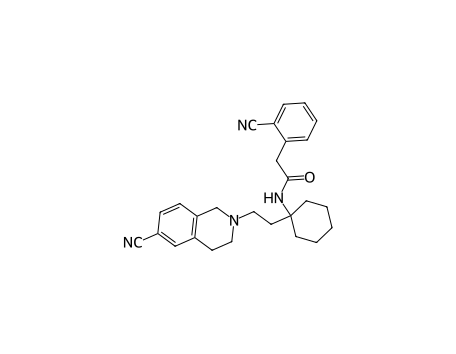 N#Cc1ccc2c(c1)CCN(CCC1(NC(=O)Cc3ccccc3C#N)CCCCC1)C2